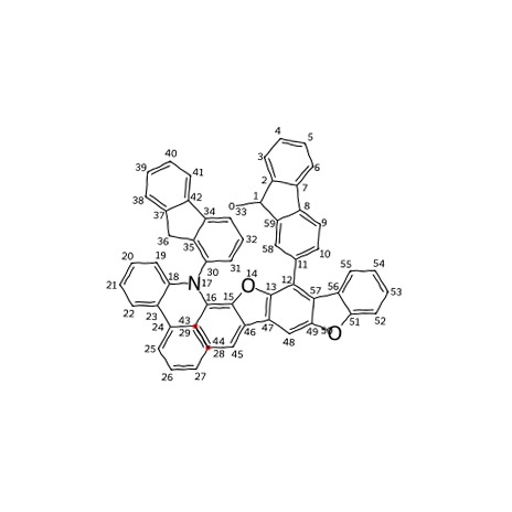 CC1c2ccccc2-c2ccc(-c3c4oc5c(N(c6ccccc6-c6ccccc6)c6cccc7c6Cc6ccccc6-7)cccc5c4cc4oc5ccccc5c34)cc21